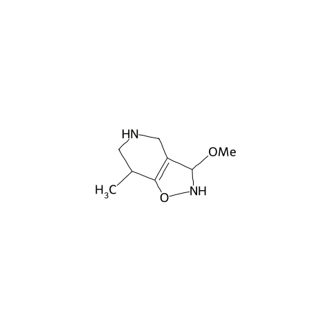 COC1NOC2=C1CNCC2C